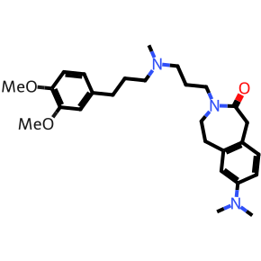 COc1ccc(CCCN(C)CCCN2CCc3cc(N(C)C)ccc3CC2=O)cc1OC